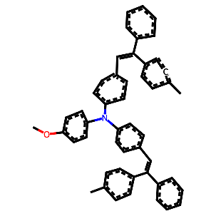 COc1ccc(N(c2ccc(C=C(c3ccccc3)c3ccc(C)cc3)cc2)c2ccc(C=C(c3ccccc3)c3ccc(C)cc3)cc2)cc1